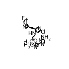 C[C@@H](CCNc1cc(Cl)ncc1C#Cc1cnn(CC(F)F)c1)Oc1c(-c2nccc(N)n2)cnn1C